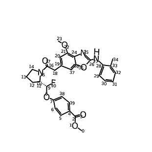 COC(=O)c1ccc(OC(F)[C@@H]2CCCN2C(=O)Cc2cc(OC)c3nc(Nc4ccccc4C)oc3c2)cc1